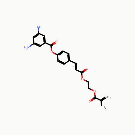 C=C(C)C(=O)OCCOC(=O)/C=C/c1ccc(OC(=O)c2cc(N)cc(N)c2)cc1